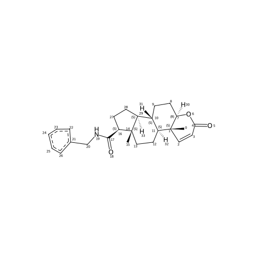 C[C@]12C=CC(=O)O[C@@H]1CC[C@@H]1[C@@H]2CC[C@]2(C)[C@@H](C(=O)NCc3ccccc3)CC[C@@H]12